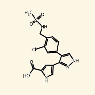 CS(=O)(=O)NCc1ccc(-c2c[nH]nc2-c2c[nH]c(C(=O)O)c2)cc1Cl